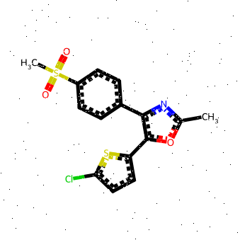 Cc1nc(-c2ccc(S(C)(=O)=O)cc2)c(-c2ccc(Cl)s2)o1